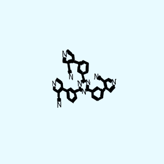 N#Cc1cnccc1-c1cccc(-c2nc(-c3cccc(-c4ccncc4C#N)c3)nc(-c3cccc(-c4ccncc4C#N)c3)n2)c1